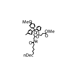 CCCCCCCCCCCCCCCC(=O)N(I)CC(COC(c1ccccc1)(c1ccc(C)cc1)c1ccc(OC)cc1)OC(=O)CCC(=O)OC